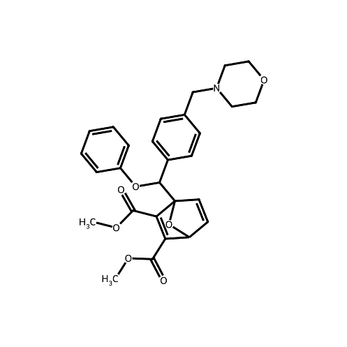 COC(=O)C1=C(C(=O)OC)C2(C(Oc3ccccc3)c3ccc(CN4CCOCC4)cc3)C=CC1O2